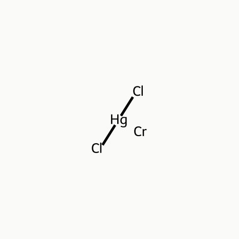 [Cl][Hg][Cl].[Cr]